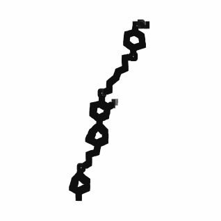 CCCCC1CCC(OCCCCCCOc2ccc(-c3ccc(CCCOc4ccc(C)cc4)cc3)cc2F)CC1